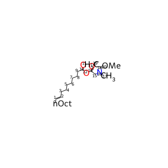 CCCCCCCCC=CCCCCCCCC(=O)OC(=O)CN(C)C(C)OC